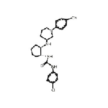 N#Cc1ccc(N2CCCC(N[C@@H]3CCCC[C@H]3NC(=O)Nc3ccc(Cl)cc3)C2)cc1